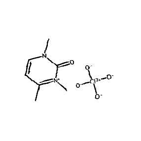 Cc1ccn(C)c(=O)[n+]1C.[O-][Cl+3]([O-])([O-])[O-]